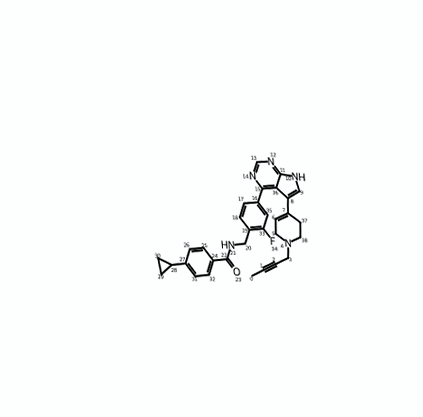 CC#CCN1CC=C(c2c[nH]c3ncnc(-c4ccc(CNC(=O)c5ccc(C6CC6)cc5)c(F)c4)c23)CC1